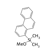 CO[Si](C)(C)c1cccc2c1ccc1ccccc12